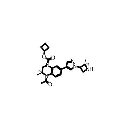 CC(=O)N1c2ccc(-c3cnn(C4CN[C@H]4C)c3)cc2N(C(=O)OC2CCC2)C[C@@H]1C